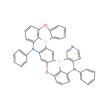 c1ccc(N2c3ccncc3B3c4cc5c(cc4Oc4cccc2c43)N(c2ccccc2)c2cccc3c2B5c2ccccc2O3)cc1